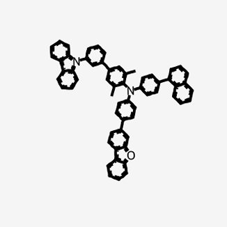 Cc1cc(-c2cccc(-n3c4ccccc4c4ccccc43)c2)cc(C)c1N(c1ccc(-c2ccc3c(c2)oc2ccccc23)cc1)c1ccc(-c2cccc3ccccc23)cc1